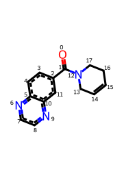 O=C(c1ccc2nccnc2c1)N1CC=CCC1